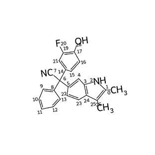 Cc1[nH]c2cc(C(C#N)(c3ccccc3)c3ccc(O)c(F)c3)ccc2c1C